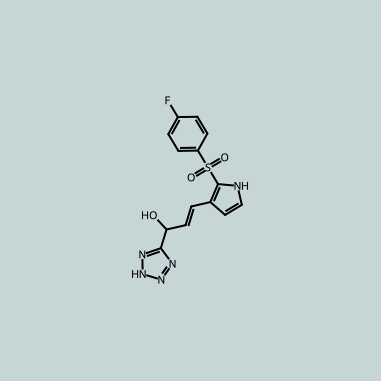 O=S(=O)(c1ccc(F)cc1)c1[nH]ccc1C=CC(O)c1nn[nH]n1